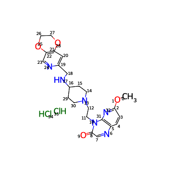 COc1ccc2ncc(=O)n(CCN3CCC(NCc4cc5c(cn4)OCCO5)CC3)c2n1.Cl.Cl